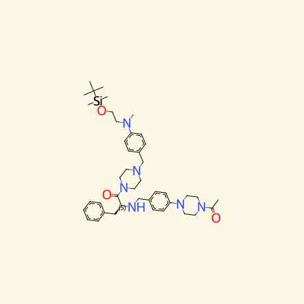 CC(=O)N1CCN(c2ccc(CN[C@@H](Cc3ccccc3)C(=O)N3CCN(Cc4ccc(N(C)CCO[Si](C)(C)C(C)(C)C)cc4)CC3)cc2)CC1